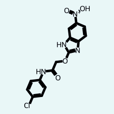 O=C(COc1nc2ccc([N+](=O)O)cc2[nH]1)Nc1ccc(Cl)cc1